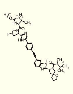 COC(=O)N[C@H](C(=O)N1C[C@H](F)C[C@H]1c1ncc(-c2ccc(C#Cc3ccc4nc([C@@H]5C[C@@]6(CCCO6)CN5C(=O)[C@@H](C)C(C)C)[nH]c4c3)cc2)[nH]1)C(C)C